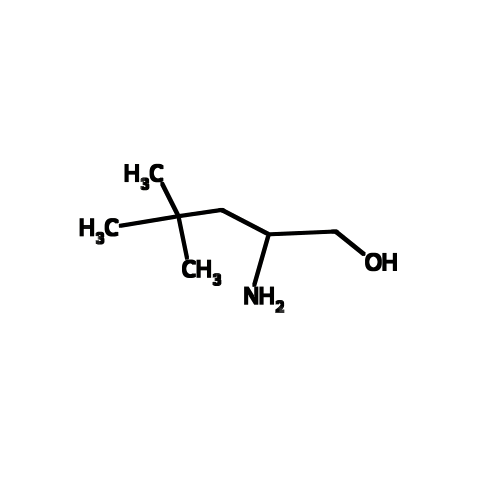 CC(C)(C)CC(N)CO